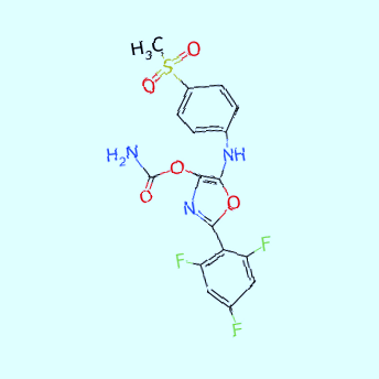 CS(=O)(=O)c1ccc(Nc2oc(-c3c(F)cc(F)cc3F)nc2OC(N)=O)cc1